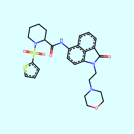 O=C(Nc1ccc2c3c(cccc13)C(=O)N2CCN1CCOCC1)C1CCCCN1S(=O)(=O)c1cccs1